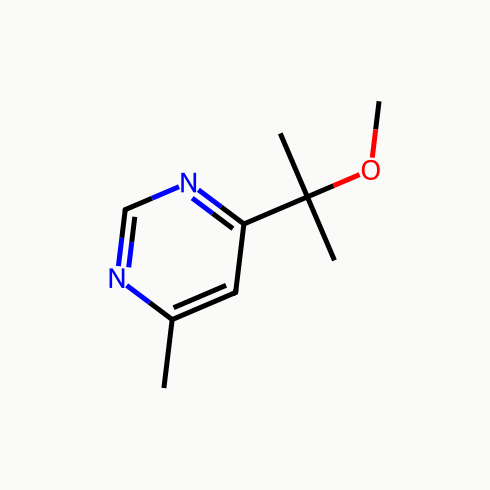 COC(C)(C)c1cc(C)ncn1